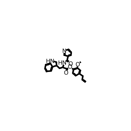 C=CCc1ccc(OC(=O)C(CC2CNc3ccccc32)NC(=O)c2cccnc2)c(OC)c1